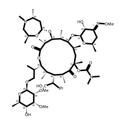 CO/N=C1\C[C@@H](C)O[C@@H](O[C@@H]2[C@@H](C)[C@H](O[C@H]3C[C@@H](C)N(C)C[C@H](C)O3)[C@@H](C)C(=O)O[C@@H](C(C)CO[C@@H]3O[C@H](C)[C@@H](O)[C@@H](OC)[C@H]3OC)[C@@H](C)[C@@H](C(C(=O)O)C(C)C)[C@@H](C)C(=O)[C@@](C)(OC(=O)N(C)C)C[C@@H]2C)[C@@H]1O